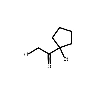 CCC1(C(=O)CCl)CCCC1